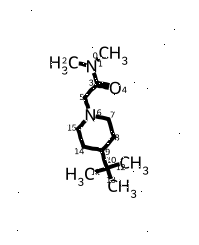 CN(C)C(=O)CN1CCC(C(C)(C)C)CC1